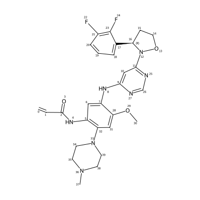 C=CC(=O)Nc1cc(Nc2cc(N3OCC[C@@H]3c3cccc(F)c3F)ncn2)c(OC)cc1N1CCN(C)CC1